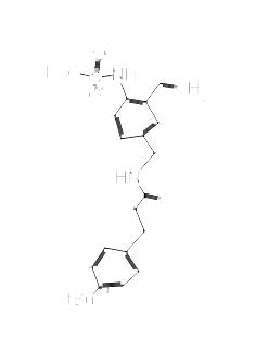 C=Cc1cc(CNC(=O)CCc2ccc(C(C)(C)C)cc2)ccc1NS(C)(=O)=O